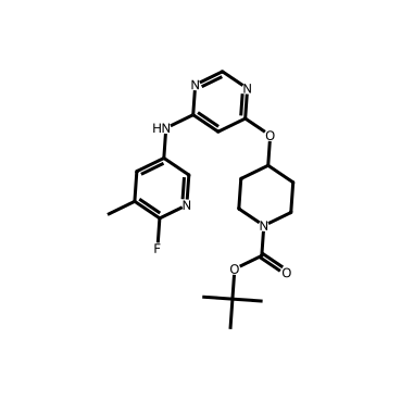 Cc1cc(Nc2cc(OC3CCN(C(=O)OC(C)(C)C)CC3)ncn2)cnc1F